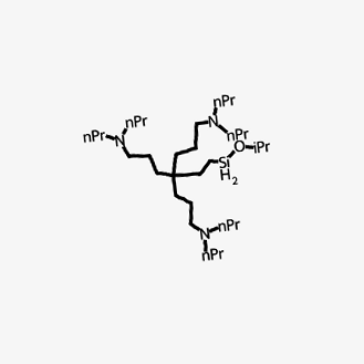 CCCN(CCC)CCCC(CCCN(CCC)CCC)(CCCN(CCC)CCC)CC[SiH2]OC(C)C